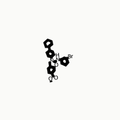 COC(=O)c1ccc(CN(C(=O)Nc2cccc(Br)c2)c2ccc(C3=CCCCC3)cc2)cc1